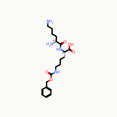 NCCCC[C@H](N)C(=O)N[C@@H](CCCCNC(=O)OCc1ccccc1)C(=O)O